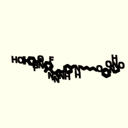 Cc1c(NC(=O)c2ccc(C(C)(C)O)cc2F)cc(F)cc1-c1ncnc2[nH]c(-c3ccc(CNCCCCCCOc4cccc(N5CCC(=O)NC5=O)c4)cc3)cc12